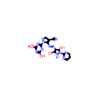 N#Cc1cnn(-c2nc(O)nc(O)n2)c1N=Nc1c(O)n(-c2ncccn2)[nH]c1=O